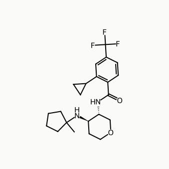 CC1(N[C@@H]2CCOC[C@H]2NC(=O)c2ccc(C(F)(F)F)cc2C2CC2)CCCC1